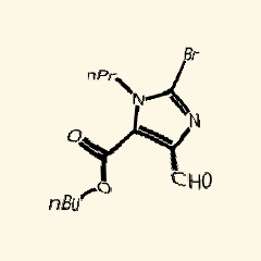 CCCCOC(=O)c1c(C=O)nc(Br)n1CCC